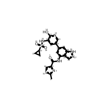 Cc1nc(C(=O)Nc2cc(-c3cnc(O)c(NS(=O)(=O)C4CC4)c3)cc3[nH]ncc23)cs1